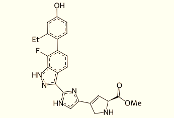 CCc1cc(O)ccc1-c1ccc2c(-c3nc(C4=C[C@@H](C(=O)OC)NC4)c[nH]3)n[nH]c2c1F